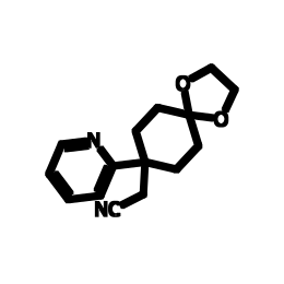 N#CCC1(c2ccccn2)CCC2(CC1)OCCO2